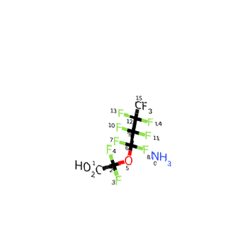 N.O=C(O)C(F)(F)OC(F)(F)C(F)(F)C(F)(F)C(F)(F)F